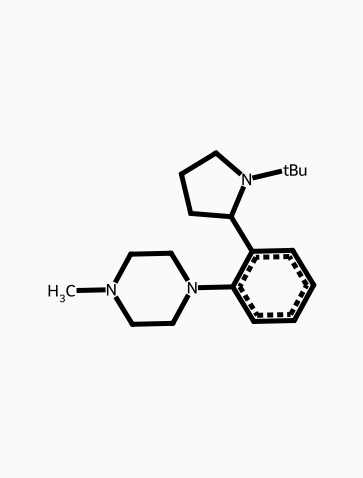 CN1CCN(c2ccccc2C2CCCN2C(C)(C)C)CC1